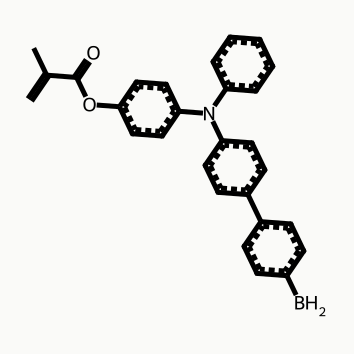 Bc1ccc(-c2ccc(N(c3ccccc3)c3ccc(OC(=O)C(=C)C)cc3)cc2)cc1